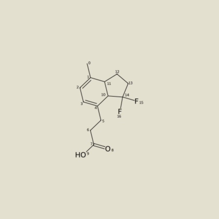 CC1=CC=C(CCC(=O)O)C2C1CCC2(F)F